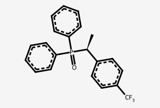 C[C@@H](c1ccc(C(F)(F)F)cc1)P(=O)(c1ccccc1)c1ccccc1